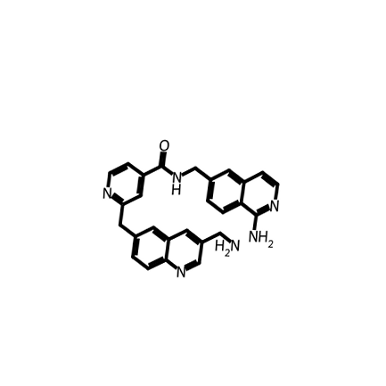 NCc1cnc2ccc(Cc3cc(C(=O)NCc4ccc5c(N)nccc5c4)ccn3)cc2c1